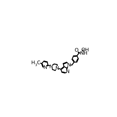 Cc1ccc(N2CCN(c3ccnc4c3ccn4Cc3ccc(C(=O)NO)cc3)CC2)nc1